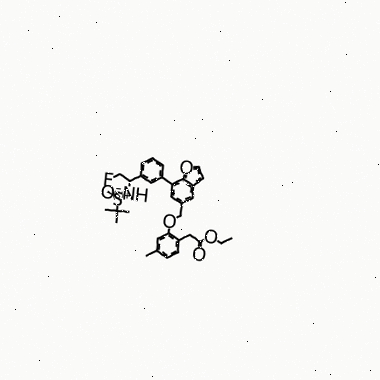 CCOC(=O)Cc1ccc(C)cc1OCc1cc(-c2cccc(C(CF)N[S@+]([O-])C(C)(C)C)c2)c2occc2c1